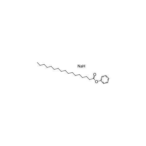 CCCCCCCCCCCCCCCCC(=O)Oc1ccccc1.[NaH]